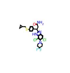 NC(=O)CC(c1ccc(SCC2CC2)cc1)c1nc2cc(Cl)c(N3CCC(F)(F)CC3)c(Cl)c2[nH]1